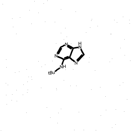 CC(C)(C)Nc1ncnc2[nH]cnc12